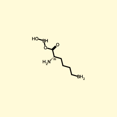 BCCCC[C@H](N)C(=O)OBO